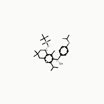 Cc1c([C@@H](O)c2ccc(OC(C)C)cc2)c(C(C)C)nc2c1[C@@H](O[Si](C)(C)C(C)(C)C)CC(C)(C)C2